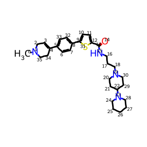 CN1CC=C(c2ccc(-c3ccc(C(=O)NCCCN4CCC(N5CCCCC5)CC4)s3)cc2)CC1